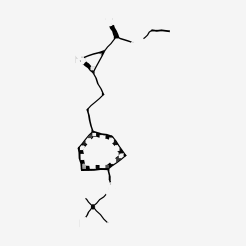 CCOC(=O)C1N=C1CCc1ccc(OC(F)(F)F)cc1